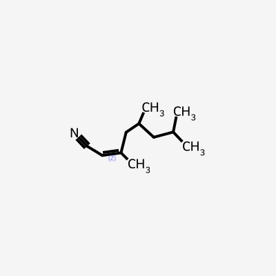 C/C(=C/C#N)CC(C)CC(C)C